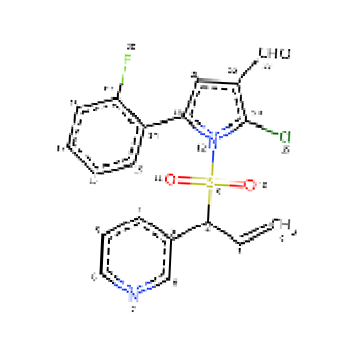 C=CC(c1cccnc1)S(=O)(=O)n1c(-c2ccccc2F)cc(C=O)c1Cl